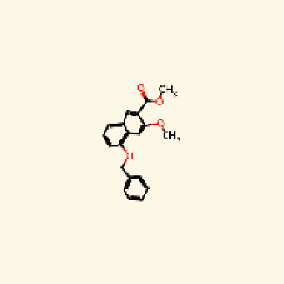 COC(=O)c1cc2cccc(OCc3ccccc3)c2cc1OC